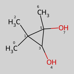 CC1(C)C(O)C1(C)O